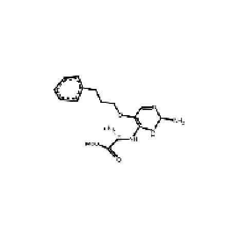 CCCC[C@H](NC1=C(OCCCc2ccccc2)C=NC(N)N1)C(=O)OC